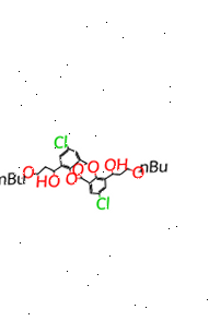 CCCCOCCC(O)c1cc(Cl)cc2c1OC1OC2Oc2c(C(O)CCOCCCC)cc(Cl)cc21